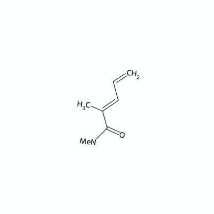 C=C/C=C(\C)C(=O)NC